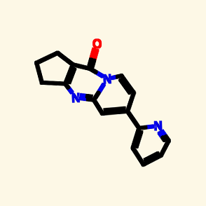 O=c1c2c(nc3cc(-c4ccccn4)ccn13)CCC2